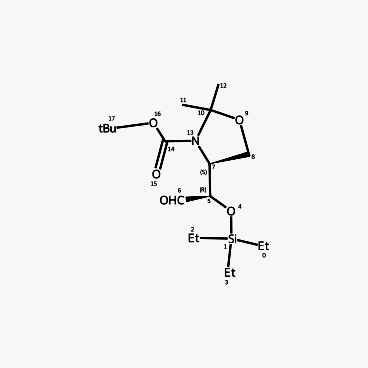 CC[Si](CC)(CC)O[C@@H](C=O)[C@@H]1COC(C)(C)N1C(=O)OC(C)(C)C